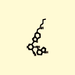 CCCCNCc1ccc2sc(-c3cncc(C#N)c3Nc3cccc4[nH]ccc34)cc2c1